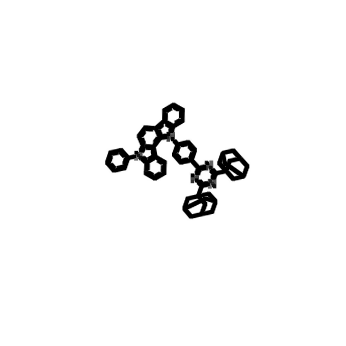 c1ccc(-n2c3ccccc3c3c2ccc2c4ccccc4n(-c4ccc(-c5nc(C67CC8CC(CC(C8)C6)C7)nc(C67CC8CC(CC(C8)C6)C7)n5)cc4)c23)cc1